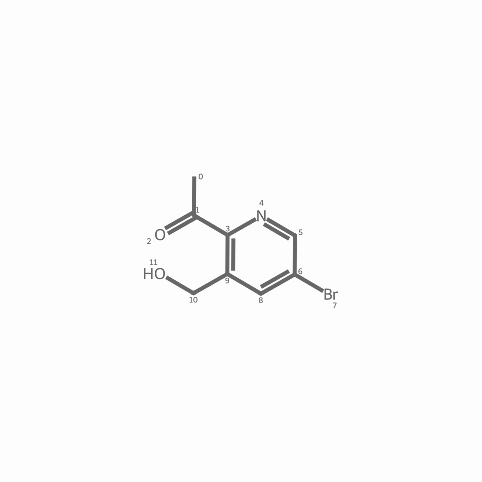 CC(=O)c1ncc(Br)cc1CO